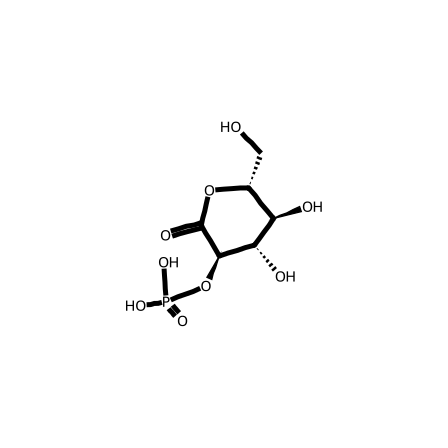 O=C1O[C@H](CO)[C@@H](O)[C@H](O)[C@H]1OP(=O)(O)O